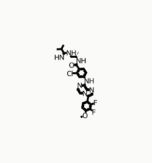 COc1ccc(-c2cnc3c(Nc4ccc(C(=O)N[C@@H](C)CNC(=N)C(C)C)c(Cl)c4)nccn23)c(F)c1F